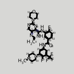 C=C/N=C1/C=NC(N2CCOCC2)=N/C1=C(/N)Nc1cc(C(=O)Nc2cc(N3CCN(C)CC3)c(F)c(C(F)(F)F)c2)ccc1F